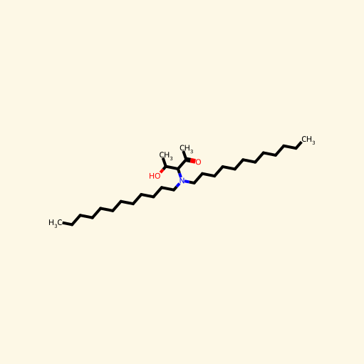 CCCCCCCCCCCCN(CCCCCCCCCCCC)C(C(C)=O)C(C)O